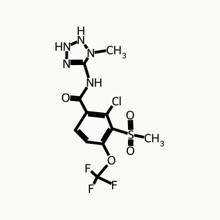 CN1NNN=C1NC(=O)c1ccc(OC(F)(F)F)c(S(C)(=O)=O)c1Cl